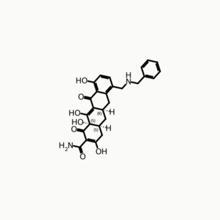 NC(=O)C1=C(O)C[C@@H]2C[C@@H]3Cc4c(CNCc5ccccc5)ccc(O)c4C(=O)C3=C(O)[C@]2(O)C1=O